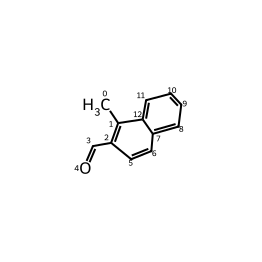 Cc1c(C=O)ccc2ccccc12